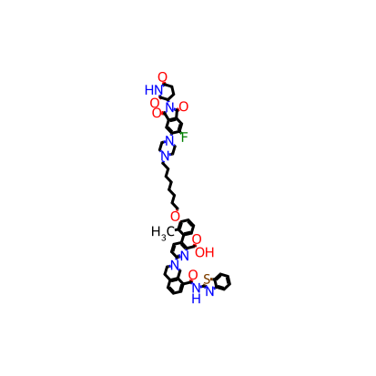 Cc1c(OCCCCCCCCN2CCN(c3cc4c(cc3F)C(=O)N(C3CCC(=O)NC3=O)C4=O)CC2)cccc1-c1ccc(N2CCc3cccc(C(=O)Nc4nc5ccccc5s4)c3C2)nc1C(=O)O